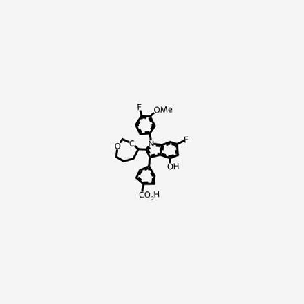 COc1cc(-n2c(C3CCCOCC3)c(-c3ccc(C(=O)O)cc3)c3c(O)cc(F)cc32)ccc1F